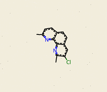 Cc1ccc2ccc3cc(Cl)c(C)nc3c2n1